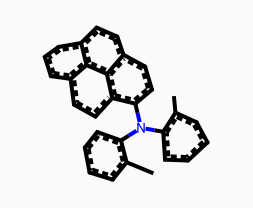 Cc1ccccc1N(c1ccccc1C)c1ccc2ccc3cccc4ccc1c2c34